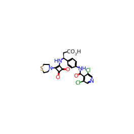 O=C(O)C[C@H](Nc1c(N2CCSCC2)c(=O)c1=O)c1ccc(NC(=O)c2c(Cl)cncc2Cl)cc1